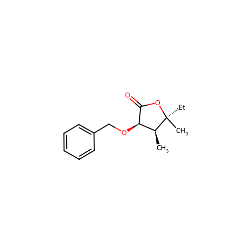 CC[C@@]1(C)OC(=O)[C@H](OCc2ccccc2)[C@@H]1C